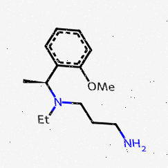 CCN(CCCN)[C@@H](C)c1ccccc1OC